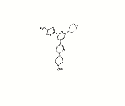 Nc1ncc(-c2cc(-c3ccc(N4CCN(C=O)CC4)nc3)cc(N3CCOCC3)n2)cn1